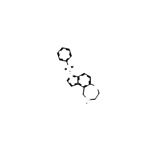 CCN1CCOc2ccc3c(ccn3S(=O)(=O)c3ccccc3)c2C1